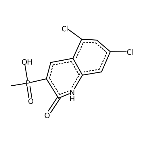 CP(=O)(O)c1cc2c(Cl)cc(Cl)cc2[nH]c1=O